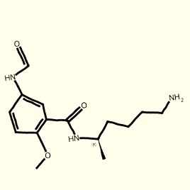 COc1ccc(NC=O)cc1C(=O)N[C@H](C)CCCCN